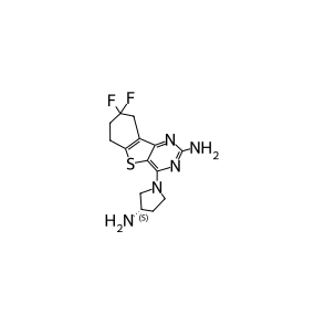 Nc1nc(N2CC[C@H](N)C2)c2sc3c(c2n1)CC(F)(F)CC3